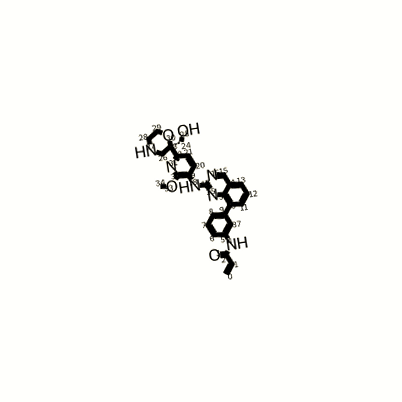 C=CC(=O)Nc1cccc(-c2cccc3cnc(Nc4ccc([C@@]5(CO)CNCCO5)nc4OC)nc23)c1